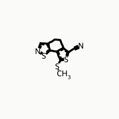 CSc1sc(C#N)c2c1-c1sncc1CC2